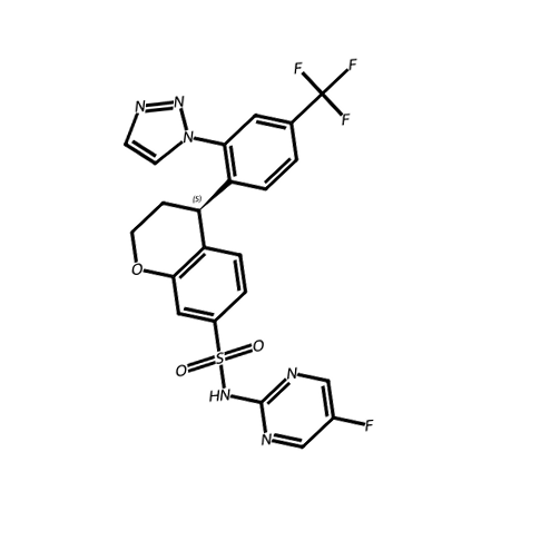 O=S(=O)(Nc1ncc(F)cn1)c1ccc2c(c1)OCC[C@H]2c1ccc(C(F)(F)F)cc1-n1ccnn1